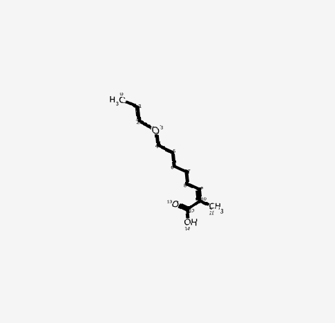 CCCOCCCCCC=C(C)C(=O)O